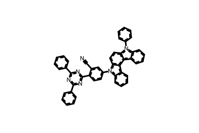 N#Cc1cc(-n2c3ccccc3c3c4c5ccccc5n(-c5ccccc5)c4ccc32)ccc1-c1nc(-c2ccccc2)nc(-c2ccccc2)n1